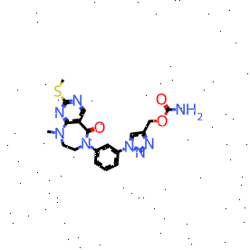 CSc1ncc2c(n1)N(C)CCN(c1cccc(-n3cc(COC(N)=O)nn3)c1)C2=O